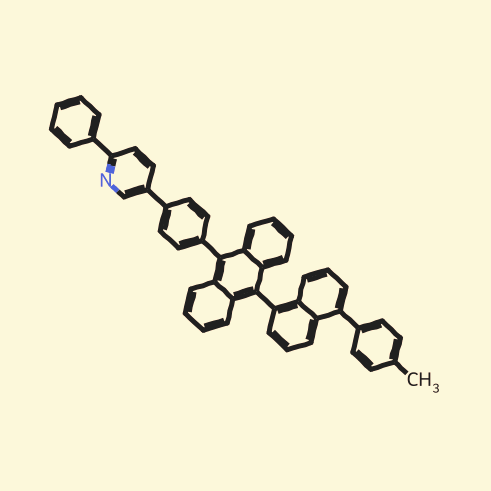 Cc1ccc(-c2cccc3c(-c4c5ccccc5c(-c5ccc(-c6ccc(-c7ccccc7)nc6)cc5)c5ccccc45)cccc23)cc1